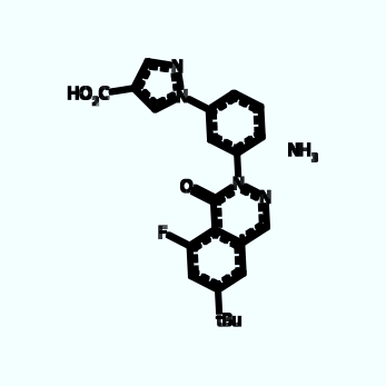 CC(C)(C)c1cc(F)c2c(=O)n(-c3cccc(-n4cc(C(=O)O)cn4)c3)ncc2c1.N